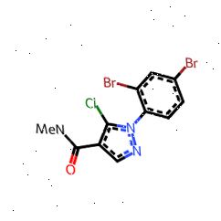 CNC(=O)c1cnn(-c2ccc(Br)cc2Br)c1Cl